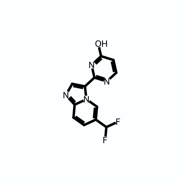 Oc1ccnc(-c2cnc3ccc(C(F)F)cn23)n1